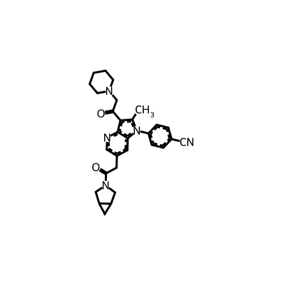 Cc1c(C(=O)CN2CCCCC2)c2ncc(CC(=O)N3CC4CC4C3)cc2n1-c1ccc(C#N)cc1